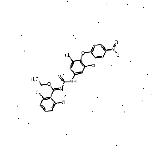 CCOC(=NC(=O)Nc1cc(Cl)c(Oc2ccc([N+](=O)[O-])cc2)c(Cl)c1)c1c(Cl)cccc1Cl